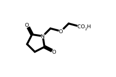 O=C(O)COCN1C(=O)CCC1=O